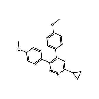 COc1ccc(-c2nnc(C3CC3)nc2-c2ccc(OC)cc2)cc1